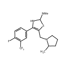 CNC1NC(c2ccc(F)c(C(F)(F)F)c2)=C(CN2CCCC2C)S1